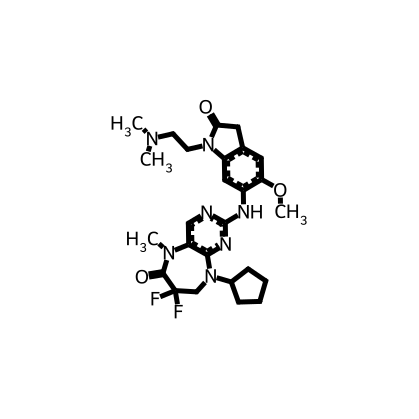 COc1cc2c(cc1Nc1ncc3c(n1)N(C1CCCC1)CC(F)(F)C(=O)N3C)N(CCN(C)C)C(=O)C2